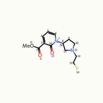 COC(=O)c1cccn([C@H]2CCN(CCF)C2)c1=O